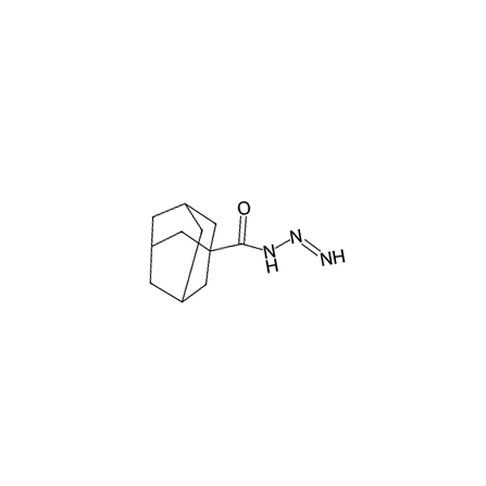 N=NNC(=O)C12CC3CC(CC(C3)C1)C2